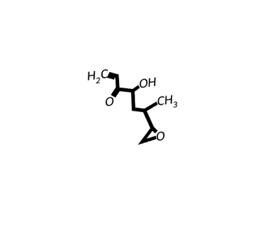 C=CC(=O)C(O)CC(C)C1CO1